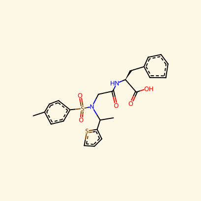 Cc1ccc(S(=O)(=O)N(CC(=O)N[C@@H](Cc2ccccc2)C(=O)O)C(C)c2cccs2)cc1